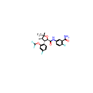 C[C@@H]1[C@@H](c2ccc(F)cc2OC(F)F)[C@H](C(=O)Nc2ccc(F)c(C(N)=O)c2)O[C@]1(C)C(F)(F)F